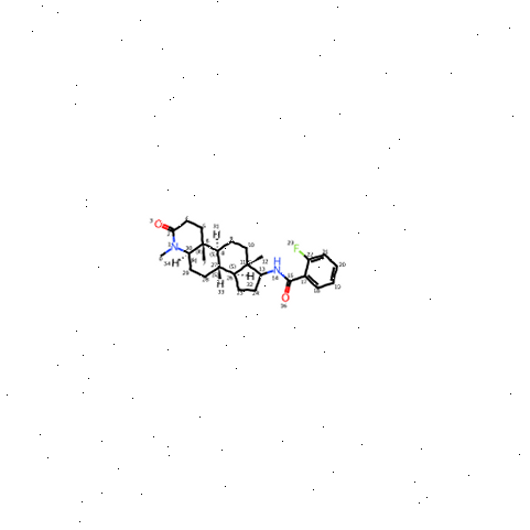 CN1C(=O)CC[C@]2(C)[C@H]3CC[C@]4(C)C(NC(=O)c5ccccc5F)CC[C@H]4[C@@H]3CC[C@@H]12